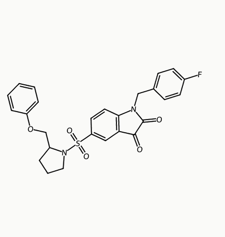 O=C1C(=O)N(Cc2ccc(F)cc2)c2ccc(S(=O)(=O)N3CCCC3COc3ccccc3)cc21